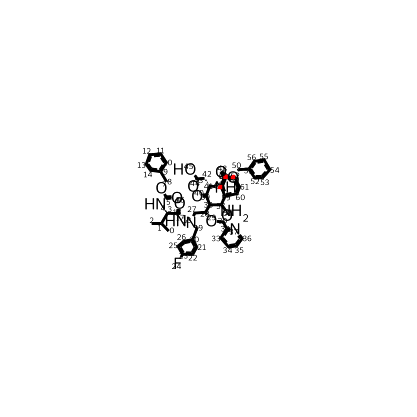 CC(C)[C@H](NC(=O)OCc1ccccc1)C(=O)NN(Cc1ccc(F)cc1)CC(OC(=O)c1ccccn1)C(C(=O)[C@H](CC(=O)O)NC(=O)OCc1ccccc1)C(N)c1ccccc1